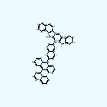 c1ccc2c(-c3c4ccccc4c(-c4ccc5cc(-c6c7oc8ccccc8c7cc7c6sc6c8ccccc8ccc76)ccc5c4)c4ccccc34)cccc2c1